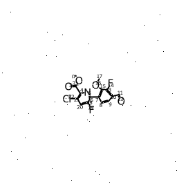 COC(=O)c1nc(-c2ccc(C=O)c(F)c2OC)c(F)cc1Cl